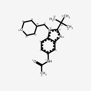 CC(=O)Nc1ccc2c(c1)nc(C(C)(C)C)n2CC1CCOCC1